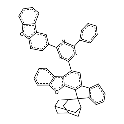 c1ccc(-c2nc(-c3ccc4oc5ccccc5c4c3)nc(-c3cc4c(c5oc6ccccc6c35)C3(c5ccccc5-4)C4CC5CC(C4)CC3C5)n2)cc1